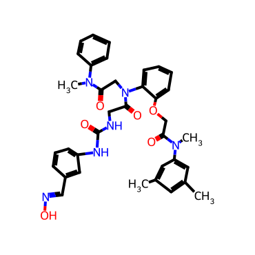 Cc1cc(C)cc(N(C)C(=O)COc2ccccc2N(CC(=O)N(C)c2ccccc2)C(=O)CNC(=O)Nc2cccc(C=NO)c2)c1